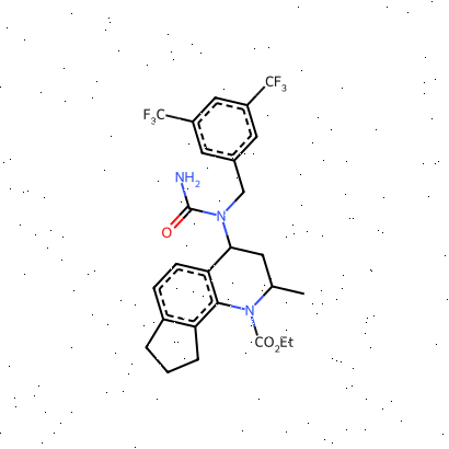 CCOC(=O)N1c2c(ccc3c2CCC3)C(N(Cc2cc(C(F)(F)F)cc(C(F)(F)F)c2)C(N)=O)CC1C